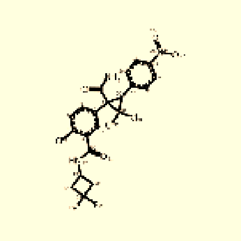 NC(=O)C1(c2ccc(Cl)c(C(=O)NC3CC(F)(F)C3)c2)C(c2ccc([N+](=O)[O-])cc2)C1(Cl)Cl